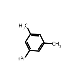 [CH2]CCc1cc(C)cc(C)c1